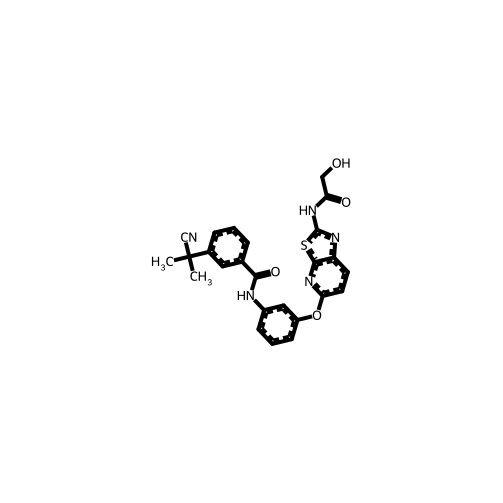 CC(C)(C#N)c1cccc(C(=O)Nc2cccc(Oc3ccc4nc(NC(=O)CO)sc4n3)c2)c1